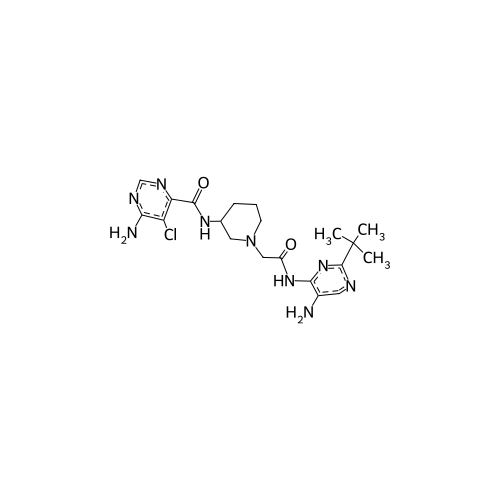 CC(C)(C)c1ncc(N)c(NC(=O)CN2CCCC(NC(=O)c3ncnc(N)c3Cl)C2)n1